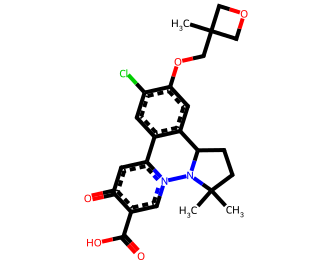 CC1(COc2cc3c(cc2Cl)-c2cc(=O)c(C(=O)O)cn2N2C3CCC2(C)C)COC1